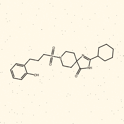 O=C1NC(C2CCCCC2)=NC12CCN(S(=O)(=O)CCCc1ccccc1O)CC2